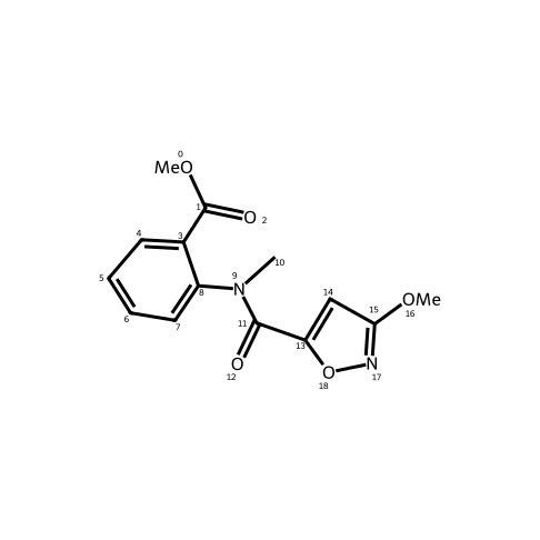 COC(=O)c1ccccc1N(C)C(=O)c1cc(OC)no1